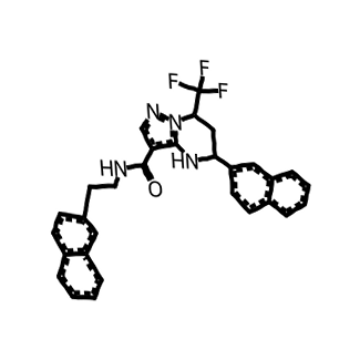 O=C(NCCc1ccc2ccccc2c1)c1cnn2c1NC(c1ccc3ccccc3c1)CC2C(F)(F)F